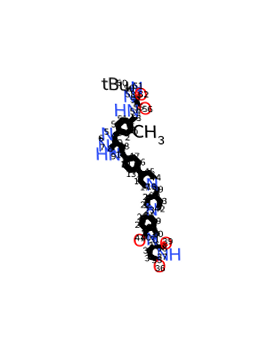 Cc1cc(-c2ncnc3[nH]c(-c4ccc(C5CCN(CC6CCN(c7ccc8c(c7)CN(C7CCC(=O)NC7=O)C8=O)CC6)CC5)cc4)cc23)ccc1CNC(=O)c1nc(C(C)(C)C)no1